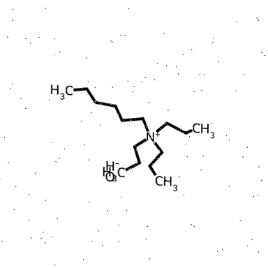 CCCCCC[N+](CCC)(CCC)CCC.[OH-]